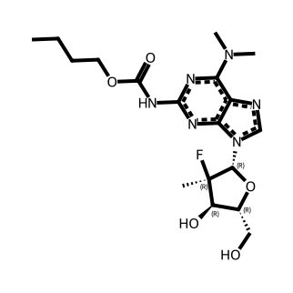 CCCCOC(=O)Nc1nc(N(C)C)c2ncn([C@@H]3O[C@H](CO)[C@@H](O)[C@@]3(C)F)c2n1